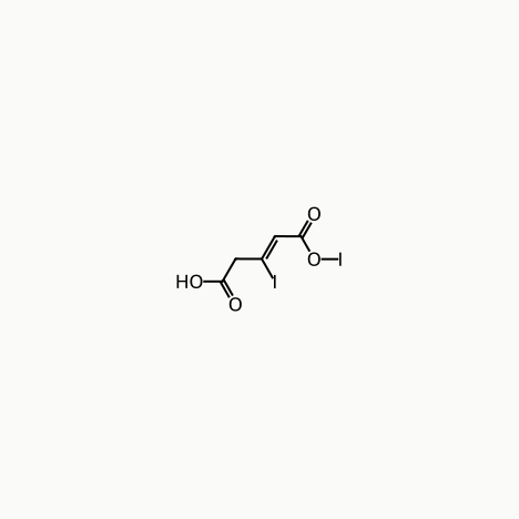 O=C(O)CC(I)=CC(=O)OI